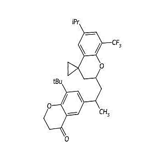 CC(C)c1cc(C(F)(F)F)c2c(c1)C1(CC1)CC(CC(C)c1cc3c(c(C(C)(C)C)c1)OCCC3=O)O2